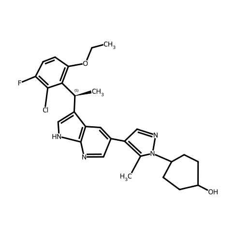 CCOc1ccc(F)c(Cl)c1[C@@H](C)c1c[nH]c2ncc(-c3cnn(C4CCC(O)CC4)c3C)cc12